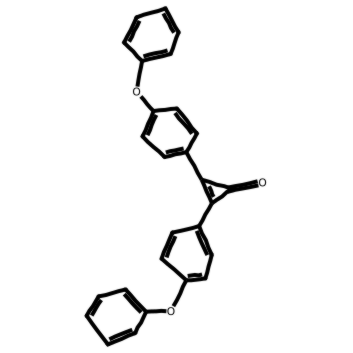 O=c1c(-c2ccc(Oc3ccccc3)cc2)c1-c1ccc(Oc2ccccc2)cc1